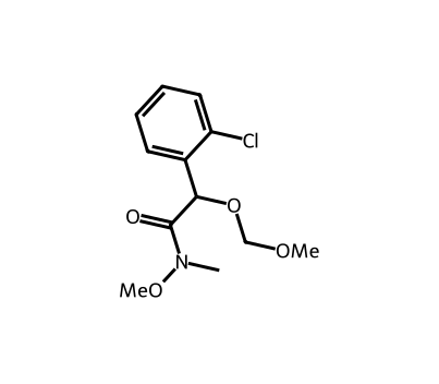 COCOC(C(=O)N(C)OC)c1ccccc1Cl